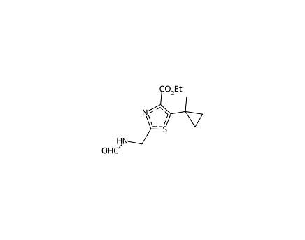 CCOC(=O)c1nc(CNC=O)sc1C1(C)CC1